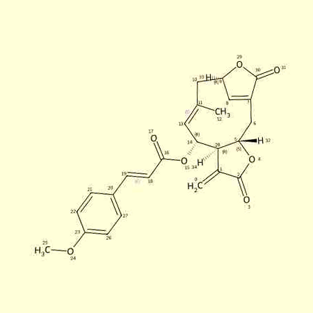 C=C1C(=O)O[C@H]2CC3=C[C@@H](C/C(C)=C/[C@@H](OC(=O)/C=C/c4ccc(OC)cc4)[C@H]12)OC3=O